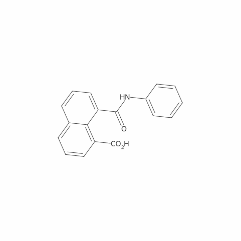 O=C(O)c1cccc2cccc(C(=O)Nc3ccccc3)c12